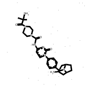 CC(C)(N)C(=O)N1CCN(C(=O)Nc2ccn(-c3ccc(CN4C5CCC4CC(N)C5)cc3)c(=O)n2)CC1